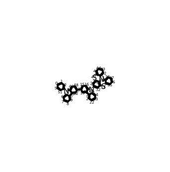 c1ccc(-n2c3ccccc3c3cc(-c4ccc5c(c4)c4ccccc4n5-c4cc5c6c(c4)Sc4ccccc4N6c4ccccc4S5)ccc32)cc1